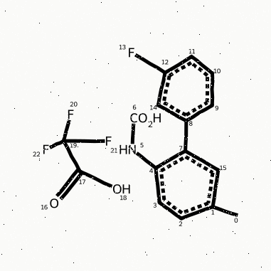 Cc1ccc(NC(=O)O)c(-c2cccc(F)c2)c1.O=C(O)C(F)(F)F